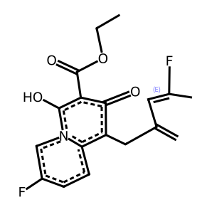 C=C(/C=C(\C)F)Cc1c(=O)c(C(=O)OCC)c(O)n2cc(F)ccc12